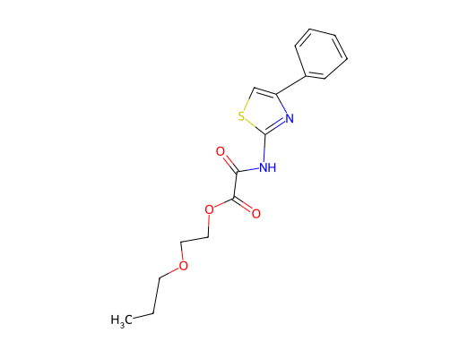 CCCOCCOC(=O)C(=O)Nc1nc(-c2ccccc2)cs1